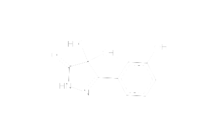 CC1(C)C(=O)NN=C1c1cccc(O)c1